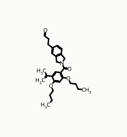 C=C(C)c1cc(C(=O)N2Cc3ccc(CCC=O)cc3C2)c(OCCCC)cc1OCCCC